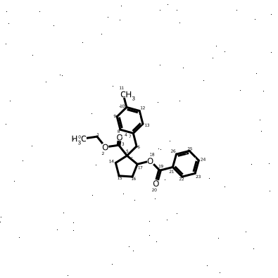 CCOC(=O)C1(Cc2ccc(C)cc2)CCCC1OC(=O)c1ccccc1